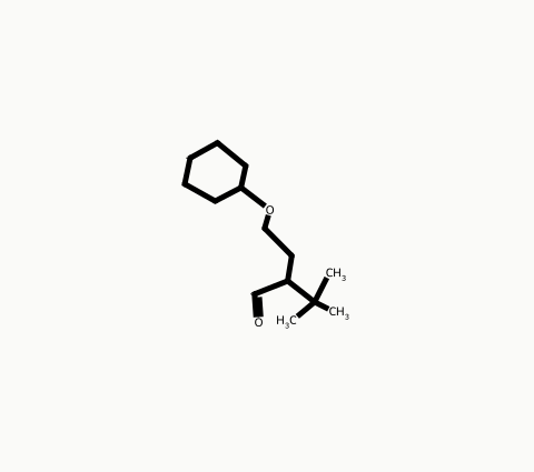 CC(C)(C)C([C]=O)CCOC1CC[CH]CC1